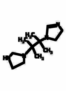 CC(C)(N1C=NCC1)C(C)(C)N1CCNC1